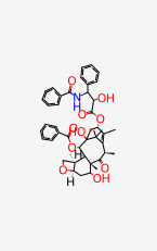 CC1=C2[C@@H](C)C(=O)[C@@]3(C)[C@H]([C@H](OC(=O)c4ccccc4)[C@](O)(C[C@@H]1OC(=O)[C@H](O)C(NC(=O)c1ccccc1)c1ccccc1)C2(C)C)[C@]1(C)CO[C@@H]1C[C@@H]3O